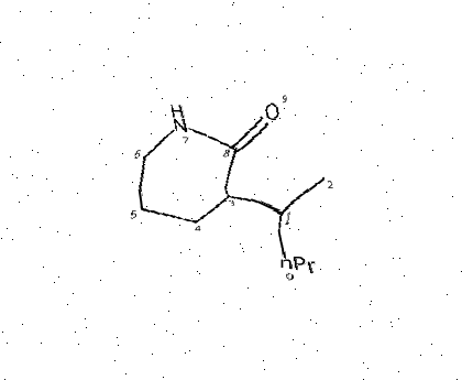 CCCC(C)C1CCCNC1=O